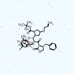 C=CCOC1CC([C@@H](O[Si](C)(C)C(C)(C)C)[C@H](Cc2cc(F)cc(F)c2)C(=O)N2C(=O)OC[C@@H]2Cc2ccccc2)N(C(=O)OC(C)(C)C)C1